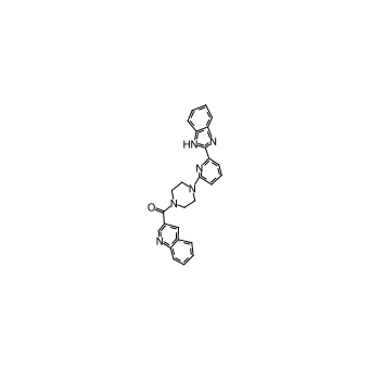 O=C(c1cnc2ccccc2c1)N1CCN(c2cccc(-c3nc4ccccc4[nH]3)n2)CC1